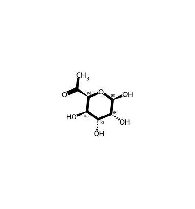 CC(=O)[C@H]1O[C@@H](O)[C@H](O)[C@H](O)[C@H]1O